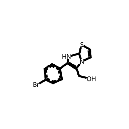 OCC1=C(c2ccc(Br)cc2)NC2SC=CN12